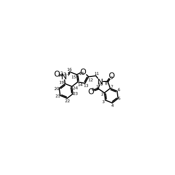 O=C1c2ccccc2C(=O)N1Cc1cc2c(c[n+]([O-])c3ccccc23)o1